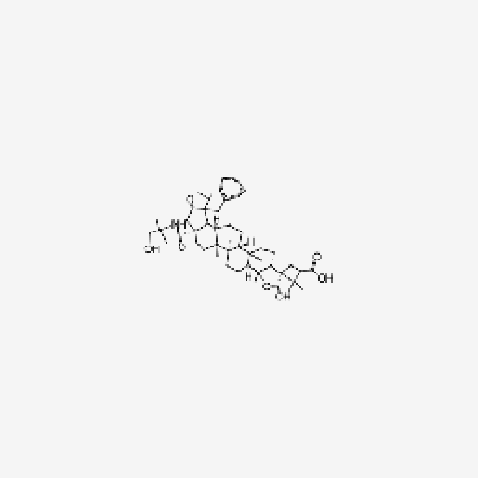 CC(C)C1(Cc2ccccc2)C(=O)C[C@]2(C(=O)NC(C)(C)CO)CC[C@]3(C)[C@@H](CC[C@@H]4[C@]5(C)CC[C@H]([C@@]6(C(=O)O)C[C@@H](C(=O)O)C6(C)C)C(C)(C)[C@H]5CC[C@]43C)C12